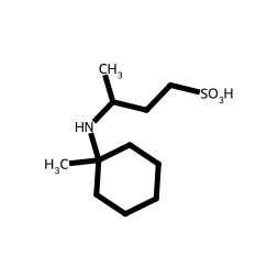 CC(CCS(=O)(=O)O)NC1(C)CCCCC1